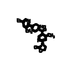 CCc1cnc(N2CCN(C(=O)c3cnc(N4CCOC4=O)cc3C)CC2)c(C)c1.Cl